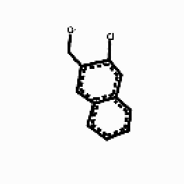 [O]Cc1cc2ccccc2cc1Cl